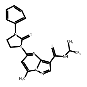 Cc1cc(N2CCN(c3ccccc3)C2=O)nc2c(C(=O)NC(C)C(F)(F)F)cnn12